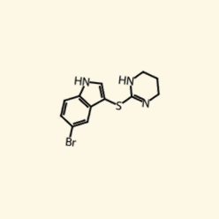 Brc1ccc2[nH]cc(SC3=NCCCN3)c2c1